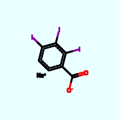 O=C([O-])c1ccc(I)c(I)c1I.[Na+]